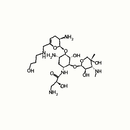 CN[C@@H]1[C@@H](O)[C@@H](O[C@@H]2[C@@H](O)[C@H](O[C@H]3OC(CNCCCO)=CC[C@H]3N)[C@@H](N)C[C@H]2NC(=O)[C@@H](O)CN)OC[C@]1(C)O